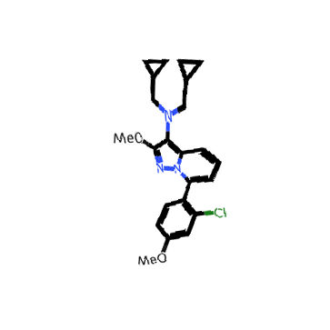 COc1ccc(-c2cccc3c(N(CC4CC4)CC4CC4)c(OC)nn23)c(Cl)c1